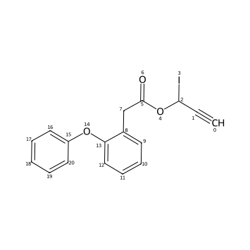 C#CC(I)OC(=O)Cc1ccccc1Oc1ccccc1